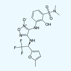 Cc1ccc([C@H](Nc2no[n+]([O-])c2Nc2cccc(S(=O)(=O)N(C)C)c2O)C(F)(F)F)o1